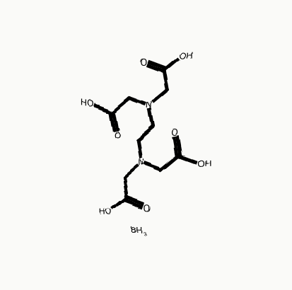 B.O=C(O)CN(CCN(CC(=O)O)CC(=O)O)CC(=O)O